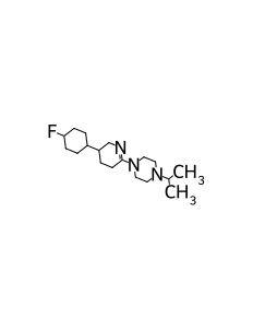 CC(C)N1CCN(C2=NCC(C3CCC(F)CC3)CC2)CC1